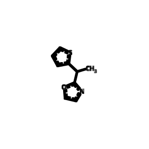 C[C](c1ncco1)c1cccs1